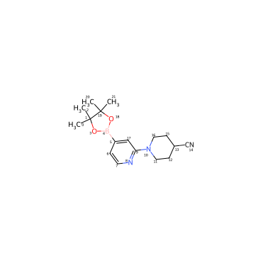 CC1(C)OB(c2ccnc(N3CCC(C#N)CC3)c2)OC1(C)C